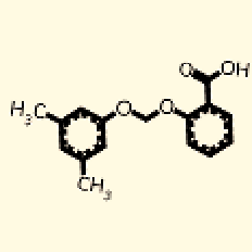 Cc1cc(C)cc(OCOc2ccccc2C(=O)O)c1